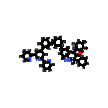 C[C@@]1(c2ccccc2)Nc2ccc(-c3cccc(-c4cccc(-c5cc(-c6ccccn6)nc(-c6ccccn6)c5)c4)c3)cc2-c2c1oc1ccccc21